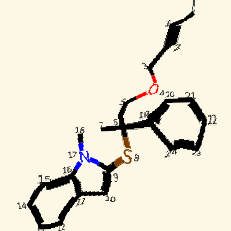 CC=CCOCC(C)(Sc1cc2ccccc2n1C)c1ccccc1